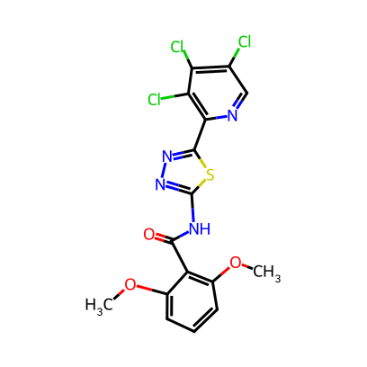 COc1cccc(OC)c1C(=O)Nc1nnc(-c2ncc(Cl)c(Cl)c2Cl)s1